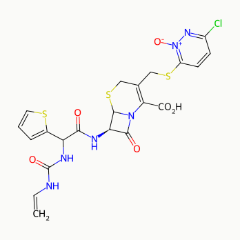 C=CNC(=O)NC(C(=O)N[C@@H]1C(=O)N2C(C(=O)O)=C(CSc3ccc(Cl)n[n+]3[O-])CSC12)c1cccs1